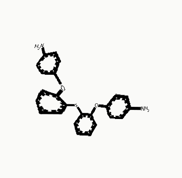 Nc1ccc(Oc2ccccc2Sc2ccccc2Oc2ccc(N)cc2)cc1